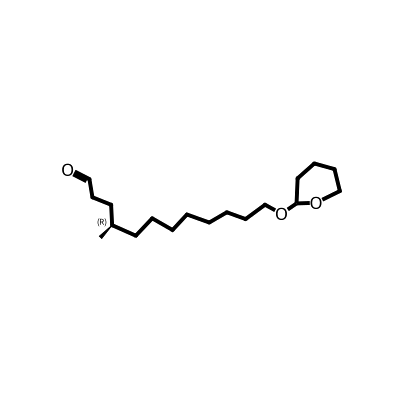 C[C@@H](CCC=O)CCCCCCCCOC1CCCCO1